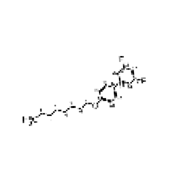 CCCCCCCCOc1ccc(-c2cc(F)cc(F)c2)cc1